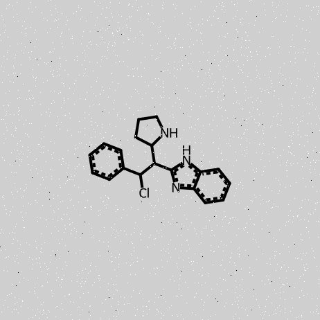 ClC(c1ccccc1)C(c1nc2ccccc2[nH]1)C1CCCN1